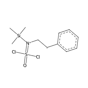 C[Si](C)(C)[N+](C[CH]c1ccccc1)=S(=O)(Cl)Cl